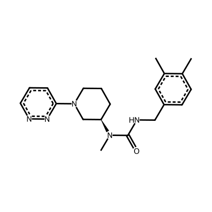 Cc1ccc(CNC(=O)N(C)[C@@H]2CCCN(c3cccnn3)C2)cc1C